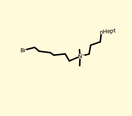 CCCCCCCCCC[N+](C)(C)CCCCCCBr